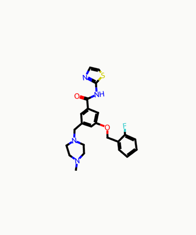 CN1CCN(Cc2cc(OCc3ccccc3F)cc(C(=O)Nc3nccs3)c2)CC1